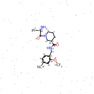 CC(C)[C@@H](N)C(=O)N1CCC[C@@H](C(=O)NCc2ccc(C#N)cc2OC(F)(F)F)C1